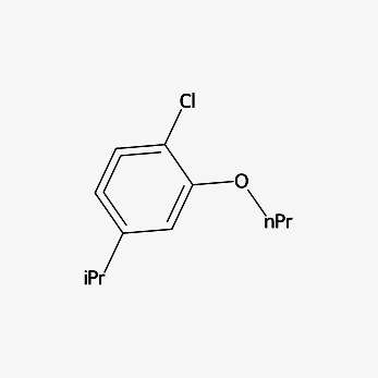 CCCOC1=CC(C(C)C)=C=C=C1Cl